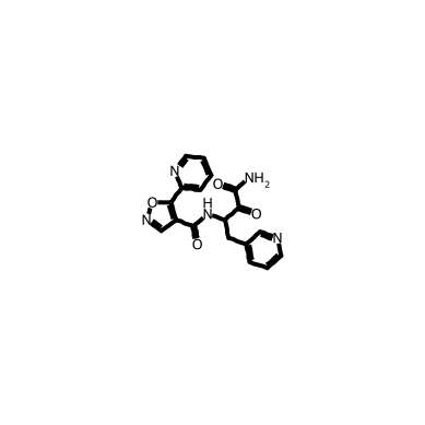 NC(=O)C(=O)C(Cc1cccnc1)NC(=O)c1cnoc1-c1ccccn1